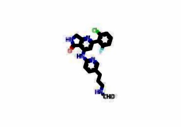 O=CNCCCc1ccc(Nc2cc(-c3c(F)cccc3Cl)nc3c2C(=O)NC3)nc1